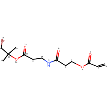 C=CC(=O)OCCC(=O)NCCC(=O)OC(C)(C)CBr